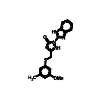 COc1cc(C)cc(SCc2cc(=O)n(-c3nc4ccccc4[nH]3)[nH]2)c1